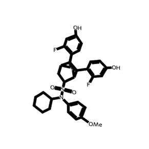 COc1ccc(N(C2CCCCC2)S(=O)(=O)C2CC3OC2C(c2ccc(O)cc2F)=C3c2ccc(O)cc2F)cc1